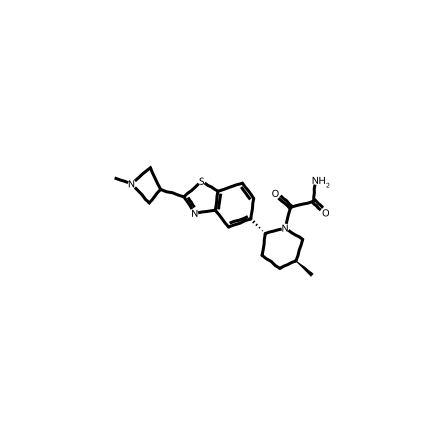 C[C@H]1CC[C@H](c2ccc3sc(C4CN(C)C4)nc3c2)N(C(=O)C(N)=O)C1